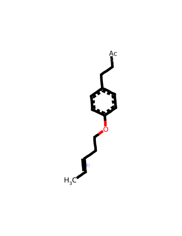 C/C=C/CCOc1ccc(CCC(C)=O)cc1